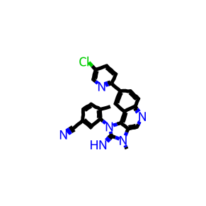 Cc1ccc(C#N)cc1-n1c(=N)n(C)c2cnc3ccc(-c4ccc(Cl)cn4)cc3c21